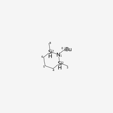 CCC(C)N1[SiH](C)CCC[SiH]1C